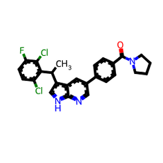 CC(c1c(Cl)ccc(F)c1Cl)c1c[nH]c2ncc(-c3ccc(C(=O)N4CCCC4)cc3)cc12